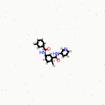 Cc1cccc(C(=O)Nc2ccc(C)c(C(=O)Nc3cccnc3)c2)c1